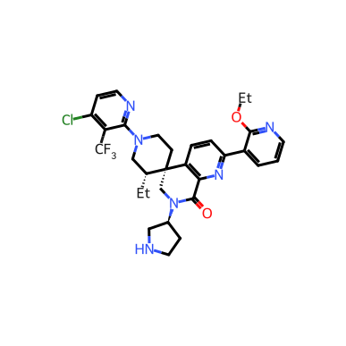 CCOc1ncccc1-c1ccc2c(n1)C(=O)N([C@H]1CCNC1)C[C@]21CCN(c2nccc(Cl)c2C(F)(F)F)C[C@H]1CC